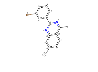 Cc1nc(-c2cccc(Br)c2)nc2cc(C(F)(F)F)ccc12